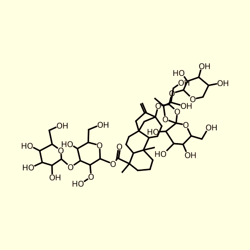 C=C1CC23CCC4C(C)(C(=O)OC5OC(CO)C(O)C(OC6OC(CO)C(O)C(O)C6O)C5OO)CCCC4(C)C2CCC1(OC(OC1OCC(O)C(O)C1O)OC1(OC(C)C(O)CO)OC(CO)C(O)C(O)C1O)C3